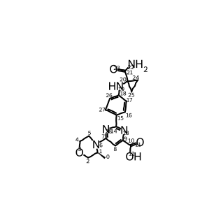 C[C@H]1COCCN1c1cc(C(=O)O)nc(-c2ccc(NC3(C(N)=O)CC3)cc2)n1